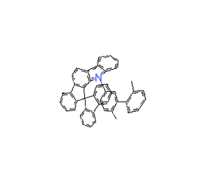 Cc1ccccc1-c1cc(-n2c3ccccc3c3ccc4c(c32)C2(c3ccccc3-c3ccccc32)c2ccccc2-4)ccc1C